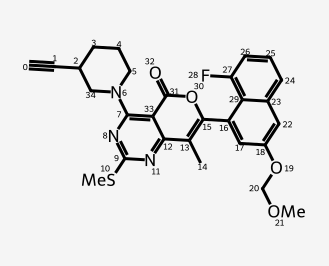 C#CC1CCCN(c2nc(SC)nc3c(C)c(-c4cc(OCOC)cc5cccc(F)c45)oc(=O)c23)C1